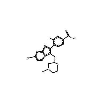 CNC(=O)c1ccc(-c2nc3cc(Cl)ccn3c2C[C@H]2CN(C(C)=O)CCO2)c(F)c1